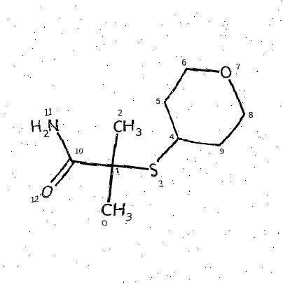 CC(C)(SC1CCOCC1)C(N)=O